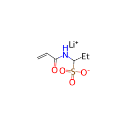 C=CC(=O)NC(CC)S(=O)(=O)[O-].[Li+]